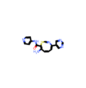 Nc1cccc(-c2cncnc2)ncsc1C(=O)Nc1ccncc1